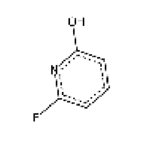 Oc1cccc(F)n1